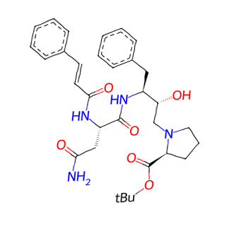 CC(C)(C)OC(=O)[C@@H]1CCCN1C[C@@H](O)[C@H](Cc1ccccc1)NC(=O)[C@H](CC(N)=O)NC(=O)C=Cc1ccccc1